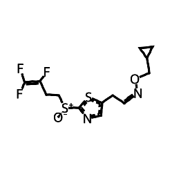 [O-][S@@+](CCC(F)=C(F)F)c1ncc(C/C=N\OCC2CC2)s1